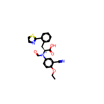 CCOc1ccc(N(C=O)[C@@H](Cc2ccccc2-c2nccs2)C(=O)O)cc1C#N